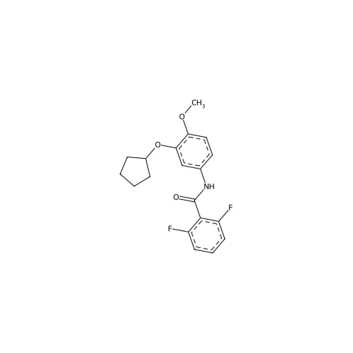 COc1ccc(NC(=O)c2c(F)cccc2F)cc1OC1CCCC1